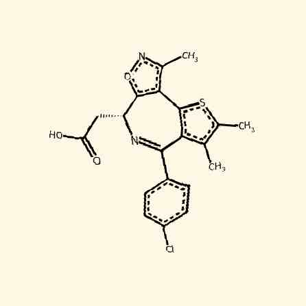 Cc1noc2c1-c1sc(C)c(C)c1C(c1ccc(Cl)cc1)=N[C@@H]2CC(=O)O